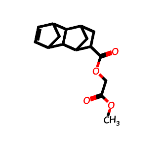 COC(=O)COC(=O)C1CC2CC1C1C3C=CC(C3)C21